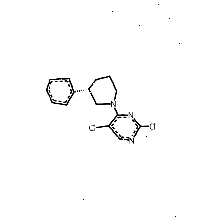 Clc1ncc(Cl)c(N2CCC[C@@H](c3ccccc3)C2)n1